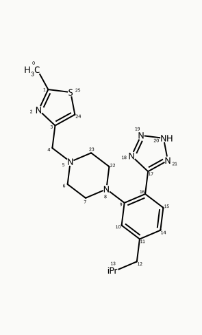 Cc1nc(CN2CCN(c3cc(CC(C)C)ccc3-c3nn[nH]n3)CC2)cs1